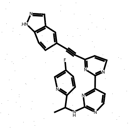 CC(Nc1nccc(-c2nccc(C#Cc3ccc4[nH]ncc4c3)n2)n1)c1ccc(F)cn1